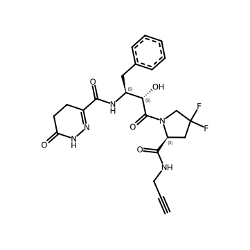 C#CCNC(=O)[C@@H]1CC(F)(F)CN1C(=O)[C@@H](O)[C@H](Cc1ccccc1)NC(=O)C1=NNC(=O)CC1